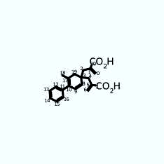 C=C(CC1(CC(=C)C(=O)O)C=CC(c2ccccc2)=C(C)C1)C(=O)O